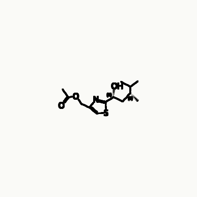 CC(=O)OCc1csc([C@H](O)C[C@@H](C)C(C)C)n1